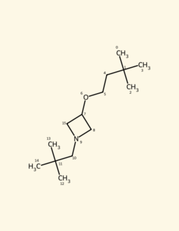 CC(C)(C)CCOC1CN(CC(C)(C)C)C1